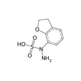 NN(c1cccc2c1OCC2)S(=O)(=O)O